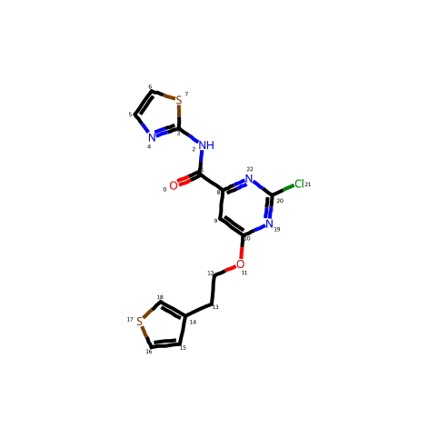 O=C(Nc1nccs1)c1cc(OCCc2ccsc2)nc(Cl)n1